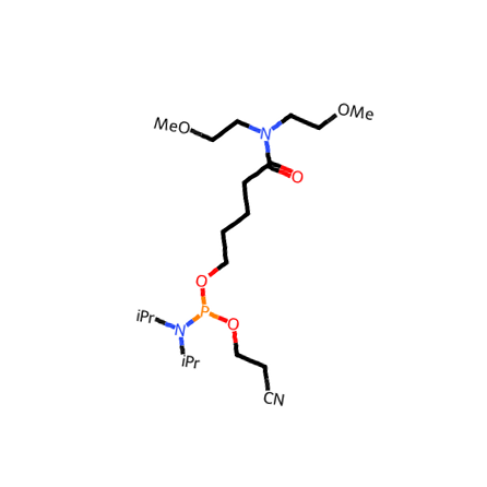 COCCN(CCOC)C(=O)CCCCOP(OCCC#N)N(C(C)C)C(C)C